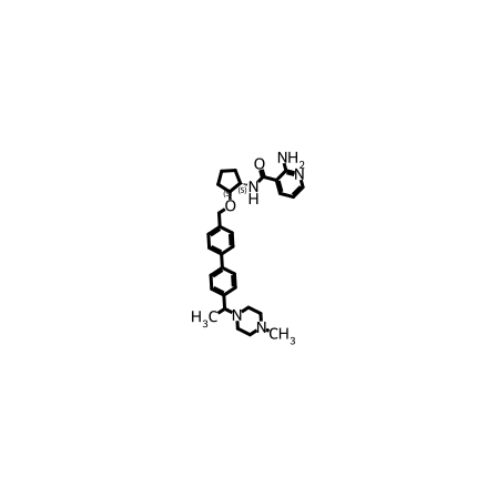 CC(c1ccc(-c2ccc(CO[C@H]3CCC[C@@H]3NC(=O)c3cccnc3N)cc2)cc1)N1CCN(C)CC1